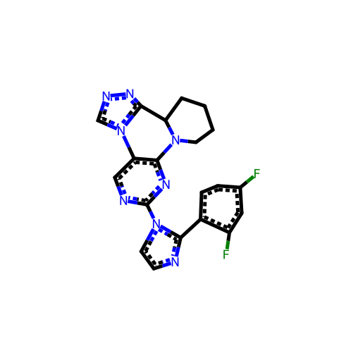 Fc1ccc(-c2nccn2-c2ncc3c(n2)N2CCCCC2c2nncn2-3)c(F)c1